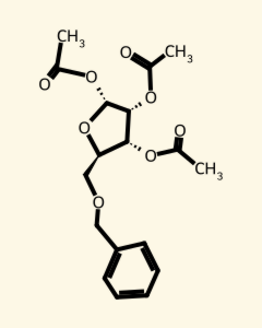 CC(=O)O[C@H]1O[C@H](COCc2ccccc2)[C@@H](OC(C)=O)[C@H]1OC(C)=O